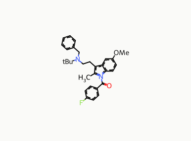 COc1ccc2c(c1)c(CCN(Cc1ccccc1)C(C)(C)C)c(C)n2C(=O)c1ccc(F)cc1